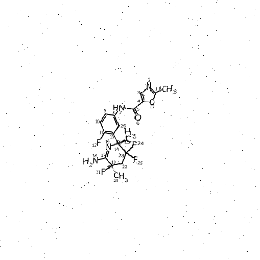 Cc1ncc(C(=O)Nc2ccc(F)c([C@@]3(C)N=C(N)[C@](C)(F)CC3(F)F)c2)o1